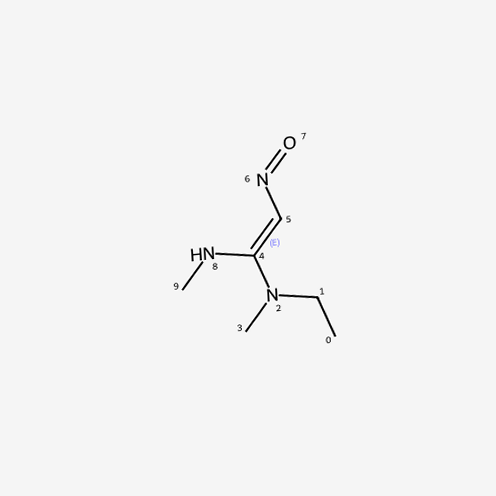 CCN(C)/C(=C/N=O)NC